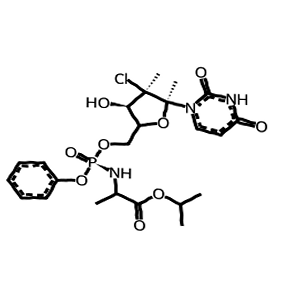 CC(C)OC(=O)C(C)N[P@@](=O)(OCC1O[C@](C)(n2ccc(=O)[nH]c2=O)[C@](C)(Cl)[C@@H]1O)Oc1ccccc1